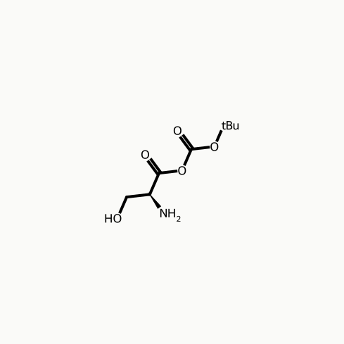 CC(C)(C)OC(=O)OC(=O)[C@@H](N)CO